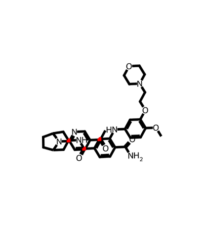 COc1ccc(Nc2cc(C(=O)NC3CC4CCC(C3)N4c3ccc(C(C)=O)cn3)ccc2C(N)=O)cc1OCCN1CCOCC1